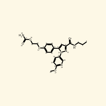 CCCNC(=O)c1cc(-c2ccc(OCCOC(N)=O)cc2)n(-c2ccc(OC)nc2)n1